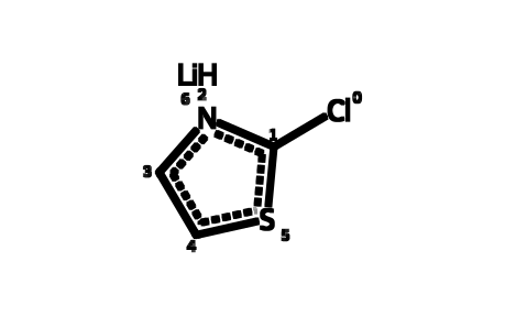 Clc1nccs1.[LiH]